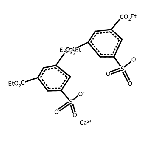 CCOC(=O)c1cc(C(=O)OCC)cc(S(=O)(=O)[O-])c1.CCOC(=O)c1cc(C(=O)OCC)cc(S(=O)(=O)[O-])c1.[Ca+2]